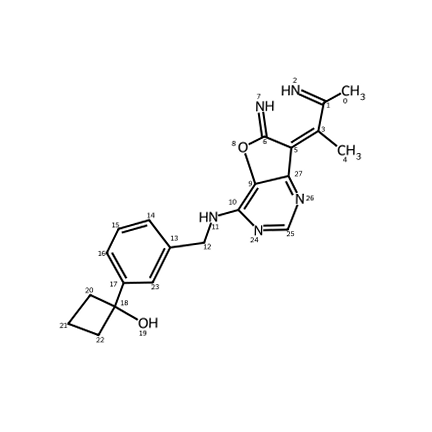 CC(=N)/C(C)=C1\C(=N)Oc2c(NCc3cccc(C4(O)CCC4)c3)ncnc21